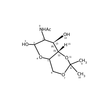 CC(=O)NC1C(O)OC2COC(C)(C)O[C@H]2[C@@H]1O